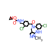 C1CC1.Cn1ncc2c1Nc1cc(Cl)ccc1N(C(=O)c1ccc(CNC(=O)O)c(Cl)c1)C2